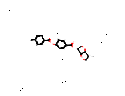 Cc1ccc(C(=O)Oc2ccc(C(=O)O[C@H]3COC4C3OC[C@@H]4C)cc2)cc1